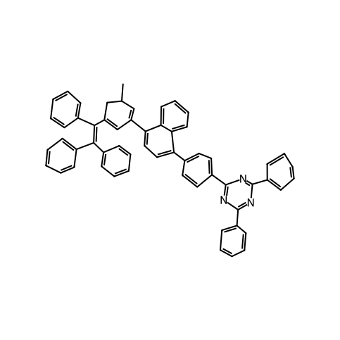 CC1C=C(c2ccc(-c3ccc(-c4nc(-c5ccccc5)nc(-c5ccccc5)n4)cc3)c3ccccc23)C=C(C(=C(c2ccccc2)c2ccccc2)c2ccccc2)C1